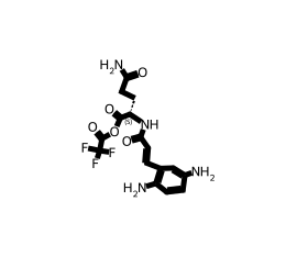 NC(=O)CC[C@H](NC(=O)C=Cc1cc(N)ccc1N)C(=O)OC(=O)C(F)(F)F